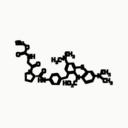 CN(C)c1ccc2c(c1)Sc1cc(N(C)C)cc(Cc3ccc(NC(=O)[C@@H]4CCCN4C(=O)CNC(=O)OC(C)(C)C)cc3)c1N2C(=O)O